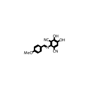 COc1ccc(/C=N/c2c(C#N)cc(O)c(O)c2C#N)cc1